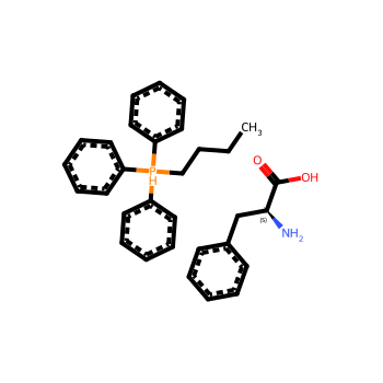 CCCC[PH](c1ccccc1)(c1ccccc1)c1ccccc1.N[C@@H](Cc1ccccc1)C(=O)O